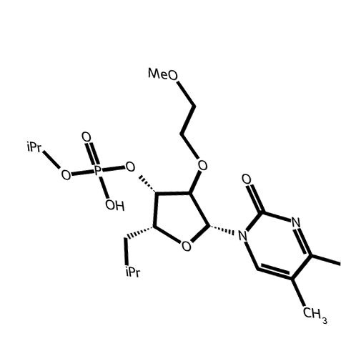 COCCOC1[C@@H](OP(=O)(O)OC(C)C)[C@@H](CC(C)C)O[C@H]1n1cc(C)c(N)nc1=O